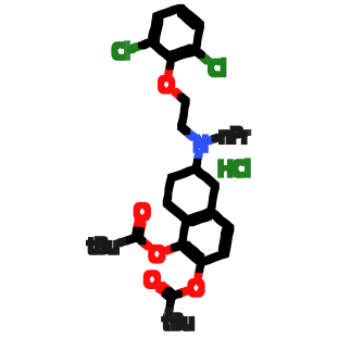 CCCN(CCOc1c(Cl)cccc1Cl)C1CCc2c(ccc(OC(=O)C(C)(C)C)c2OC(=O)C(C)(C)C)C1.Cl